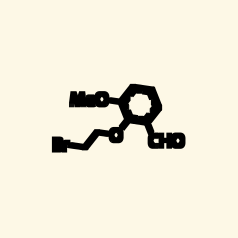 COc1cccc(C=O)c1OCCBr